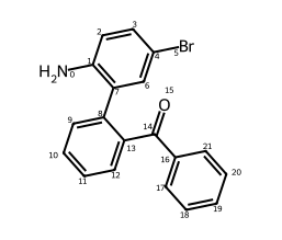 Nc1ccc(Br)cc1-c1ccccc1C(=O)c1ccccc1